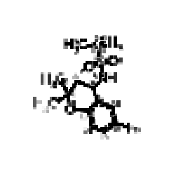 CN(C)S(=O)(=O)NC1CC(C)(C)Oc2ccc(F)cc21